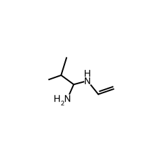 C=CNC(N)C(C)C